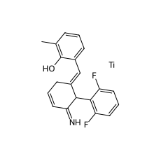 Cc1cccc(C=C2CC=CC(=N)C2c2c(F)cccc2F)c1O.[Ti]